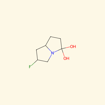 OC1(O)CCC2CC(F)CN21